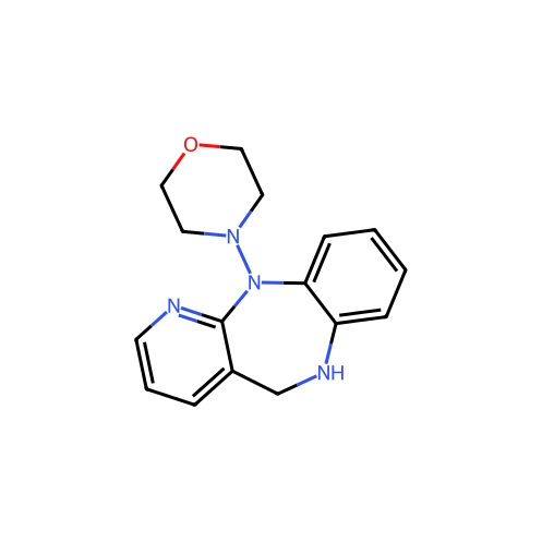 c1cnc2c(c1)CNc1ccccc1N2N1CCOCC1